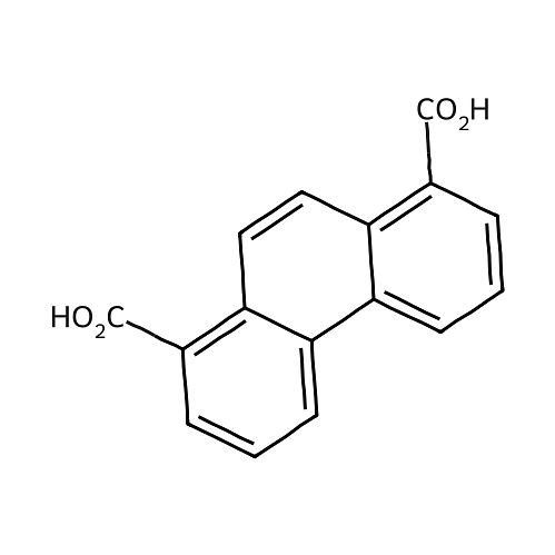 O=C(O)c1cccc2c1ccc1c(C(=O)O)cccc12